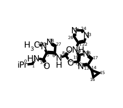 CC(C)CNC(=O)c1c(NC(=O)Oc2nc(C3CC3)cnc2Nc2cncnc2)cnn1C